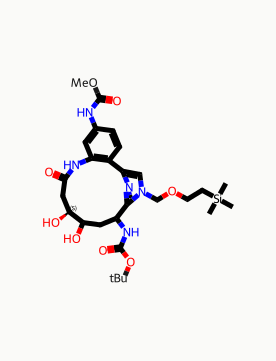 COC(=O)Nc1ccc2c(c1)NC(=O)C[C@H](O)C(O)CC(NC(=O)OC(C)(C)C)c1nc-2cn1COCC[Si](C)(C)C